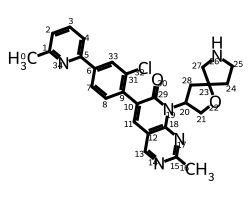 Cc1cccc(-c2ccc(-c3cc4cnc(C)nc4n(C4COC5(CCNC5)C4)c3=O)c(Cl)c2)n1